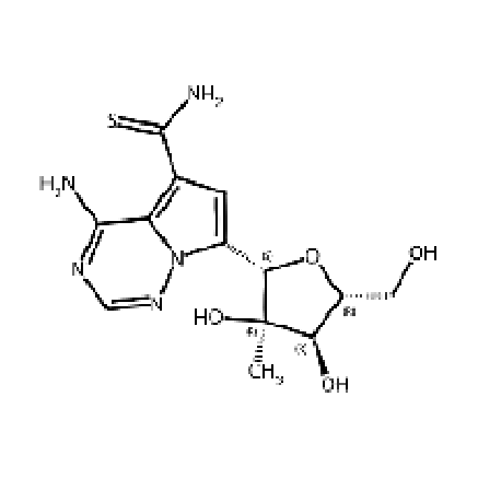 C[C@@]1(O)[C@H](O)[C@@H](CO)O[C@H]1c1cc(C(N)=S)c2c(N)ncnn12